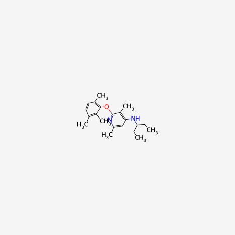 CCC(CC)Nc1cc(C)nc(Oc2c(C)ccc(C)c2C)c1C